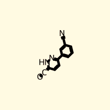 N#Cc1cccc(C2=NNC(=C=O)C=C2)c1